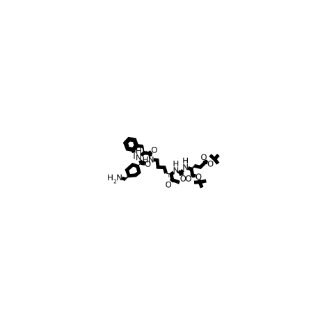 CC(=O)[C@H](CCCCNC(=O)[C@H](Cc1ccccc1I)NC(=O)[C@H]1CC[C@H](CN)CC1)NC(=O)N[C@@H](CCC(=O)OC(C)(C)C)C(=O)OC(C)(C)C